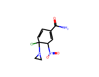 NC(=O)C1=CC([N+](=O)[O-])C(Cl)(N2CC2)C=C1